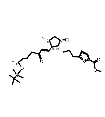 COC(=O)c1ccc(CCC[C@@H]2[C@@H](/C=C/C(=O)CCC[C@@H](C)O[Si](C)(C)C(C)(C)C)[C@H](C)C[C@H]2Cl)s1